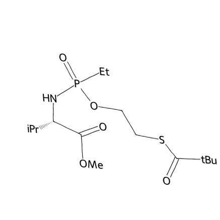 CCP(=O)(N[C@H](C(=O)OC)C(C)C)OCCSC(=O)C(C)(C)C